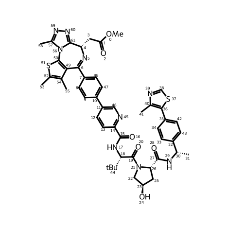 COC(=O)C[C@@H]1N=C(c2ccc(-c3ccc(C(=O)N[C@H](C(=O)N4C[C@H](O)C[C@H]4C(=O)N[C@@H](C)c4ccc(-c5scnc5C)cc4)C(C)(C)C)nc3)cc2)c2c(sc(C)c2C)-n2c(C)nnc21